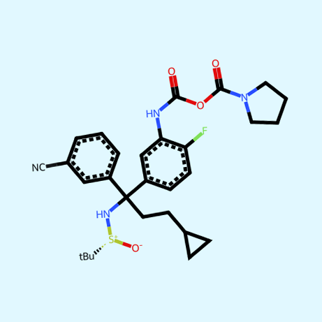 CC(C)(C)[S@@+]([O-])NC(CCC1CC1)(c1cccc(C#N)c1)c1ccc(F)c(NC(=O)OC(=O)N2CCCC2)c1